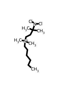 CCCCCC[N+](C)(C)CCC(C)(C)N(Cl)Cl